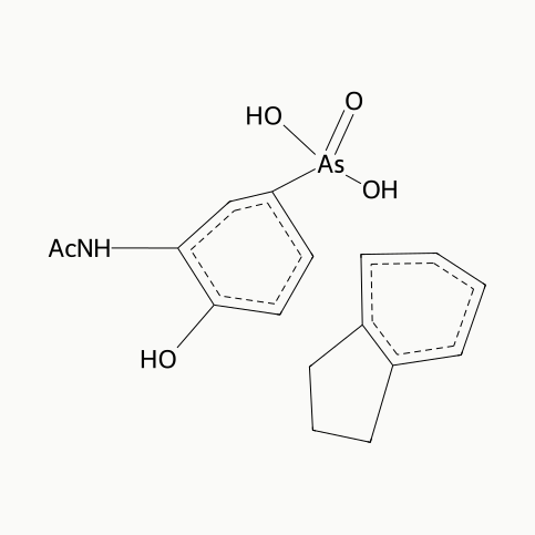 CC(=O)Nc1cc([As](=O)(O)O)ccc1O.c1ccc2c(c1)CCC2